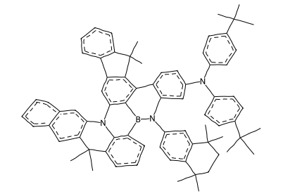 CC(C)(C)c1ccc(N(c2ccc(C(C)(C)C)cc2)c2ccc3c(c2)N(c2ccc4c(c2)C(C)(C)CCC4(C)C)B2c4cccc5c4N(c4cc6ccccc6cc4C5(C)C)c4cc5c(c-3c42)C(C)(C)c2ccccc2-5)cc1